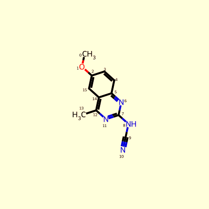 COc1ccc2nc(NC#N)nc(C)c2c1